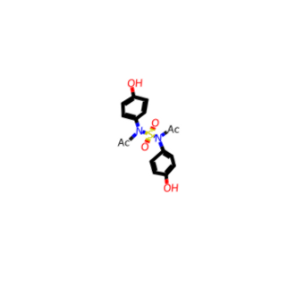 CC(=O)N(c1ccc(O)cc1)S(=O)(=O)N(C(C)=O)c1ccc(O)cc1